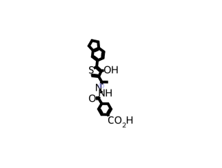 C/C(=N\NC(=O)C1C=CC(C(=O)O)=CC1)c1csc(-c2ccc3c(c2)CCC3)c1O